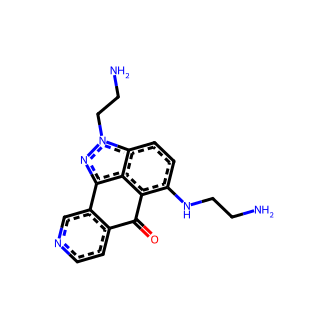 NCCNc1ccc2c3c(nn2CCN)-c2cnccc2C(=O)c13